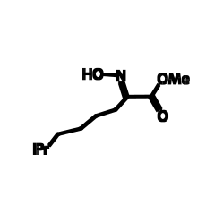 COC(=O)C(CCCCC(C)C)=NO